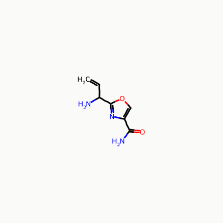 C=CC(N)c1nc(C(N)=O)co1